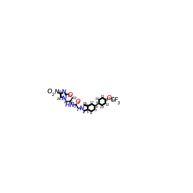 O=C(Cn1cc2ccc(-c3ccc(OC(F)(F)F)cc3)cc2c1)N[C@@H]1COc2nc([N+](=O)[O-])cn2C1